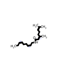 CC/C=C\CC/C=C\CNC(=O)/C=C(/C)CCC=C(C)C